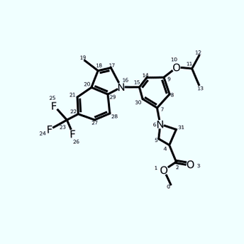 COC(=O)C1CN(c2cc(OC(C)C)cc(-n3cc(C)c4cc(C(F)(F)F)ccc43)c2)C1